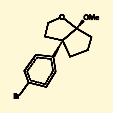 CO[C@]12CCC[C@@]1(c1ccc(Br)cc1)CCO2